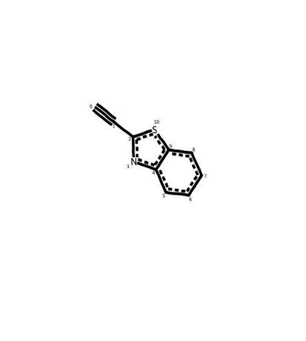 [C]#Cc1nc2ccccc2s1